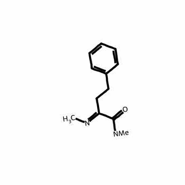 C/N=C(\CCc1ccccc1)C(=O)NC